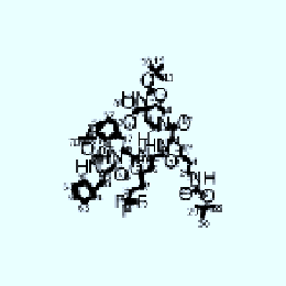 COC(=O)C1(NC(=O)OC(C)(C)C)CCN(C(=O)[C@@H](CCCCNC(=O)OC(C)(C)C)NC(=O)C(CCCCC(F)(F)F)NC(=O)[C@@H](Cc2ccccc2)NC(=O)[C@@H](Cc2ccccc2)NC(=O)OC(C)(C)C)CC1